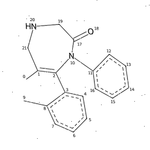 CC1=C(c2ccccc2C)N(c2ccccc2)C(=O)CNC1